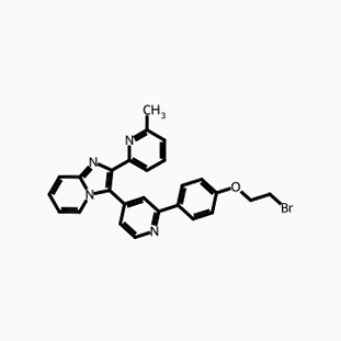 Cc1cccc(-c2nc3ccccn3c2-c2ccnc(-c3ccc(OCCBr)cc3)c2)n1